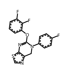 Fc1ccc(N2Cc3ncsc3N=C2Oc2cccc(F)c2F)cc1